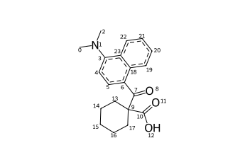 CN(C)c1ccc(C(=O)C2(C(=O)O)CCCCC2)c2ccccc12